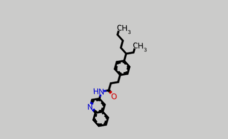 CCCCC(CC)c1ccc(CCC(=O)Nc2cnc3ccccc3c2)cc1